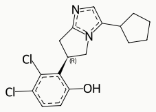 Oc1ccc(Cl)c(Cl)c1[C@H]1Cc2ncc(C3CCCC3)n2C1